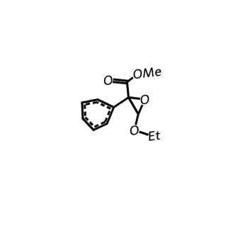 CCOC1OC1(C(=O)OC)c1ccccc1